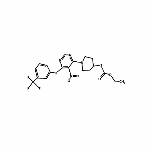 CCOC(=O)OC1CCN(c2ncnc(Oc3cccc(C(F)(F)F)c3)c2[N+](=O)[O-])CC1